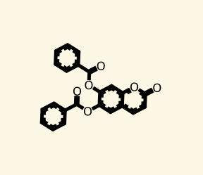 O=C(Oc1cc2ccc(=O)oc2cc1OC(=O)c1ccccc1)c1ccccc1